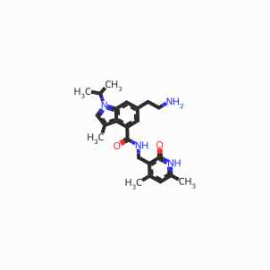 Cc1cc(C)c(CNC(=O)c2cc(CCN)cc3c2c(C)cn3C(C)C)c(=O)[nH]1